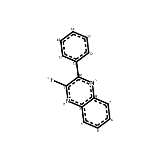 Fc1nc2ccccc2nc1-c1ccccc1